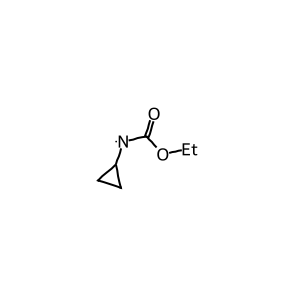 CCOC(=O)[N]C1CC1